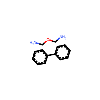 NCOCN.c1ccc(-c2ccccc2)cc1